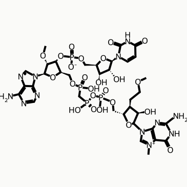 COCC[C@@H]1[C@@H](COP(=O)(O)OP(=O)(O)CP(=O)(O)OC[C@H]2O[C@@H](n3cnc4c(N)ncnc43)[C@H](OC)[C@@H]2OP(=O)([O-])OC[C@H]2O[C@@H](n3ccc(=O)[nH]c3=O)[C@H](O)[C@@H]2O)OC(n2c[n+](C)c3c(=O)[nH]c(N)nc32)[C@@H]1O